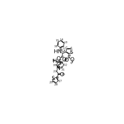 COC(=O)c1sccc1[C@@H](Nc1ccccc1)C(=O)O[C@H]1C[N+]2(CC(=O)c3cccs3)CCC1CC2